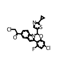 O=C(CCl)c1ccc2c(c1)cc1n2C(c2cnc(C3CC3)s2)Oc2cc(Cl)cc(F)c2-1